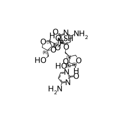 Nc1ccn([C@@H]2O[C@]3(COP(=O)(S)OC4[C@@H]5OC[C@@]4(CO)O[C@H]5n4ccc(N)nc4=O)CO[C@H]2C3O)c(=O)n1